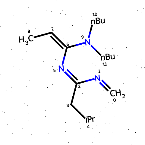 C=N/C(CC(C)C)=N\C(=C/C)N(CCCC)CCCC